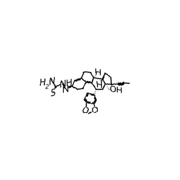 CC#C[C@@]1(O)CC[C@H]2[C@@H]3CCC4=C/C(=N\NC(N)=S)CCC4=C3[C@@H](c3ccc4c(c3)OCO4)C[C@@]21C